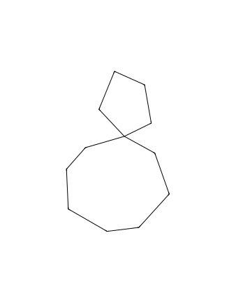 C1CCCC2(CCC1)CCCC2